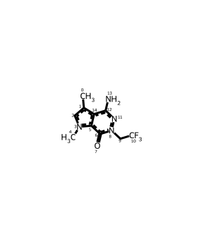 Cc1cn(C)c2c(=O)n(CC(F)(F)F)nc(N)c12